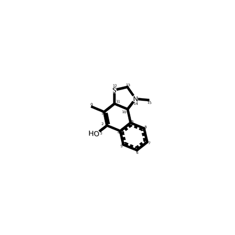 CC1=C(O)c2ccccc2C2C1SCN2C